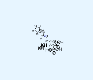 C/C(=C\CCCC(P(=O)(O)O)S(=O)(=O)O)C[SH]1C=CC=C1.[KH].[KH].[KH]